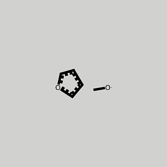 C[O].c1ccoc1